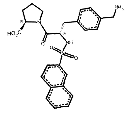 NCc1ccc(C[C@H](NS(=O)(=O)c2ccc3ccccc3c2)C(=O)N2CCC[C@@H]2C(=O)O)cc1